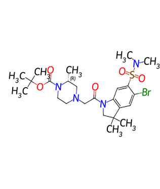 C[C@@H]1CN(CC(=O)N2CC(C)(C)c3cc(Br)c(S(=O)(=O)N(C)C)cc32)CCN1C(=O)OC(C)(C)C